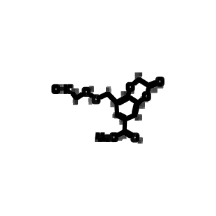 COC(=O)c1cc(COOCC=O)c2c(c1)OC(=O)CO2